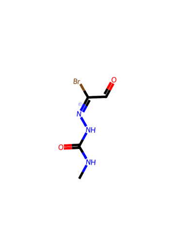 CNC(=O)N/N=C(/Br)C=O